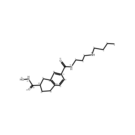 CCCCNCCCNC(=O)c1ccc2c(c1)CC(C(=O)NO)CC2